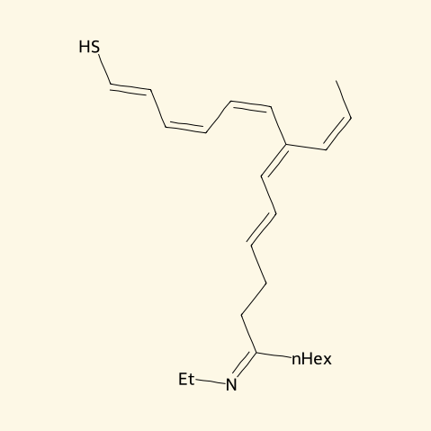 C\C=C/C(/C=C\C=C/C=C/S)=C\C=C\CC/C(CCCCCC)=N\CC